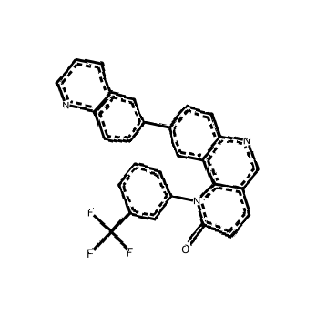 O=c1ccc2cnc3ccc(-c4ccc5ncccc5c4)cc3c2n1-c1cccc(C(F)(F)F)c1